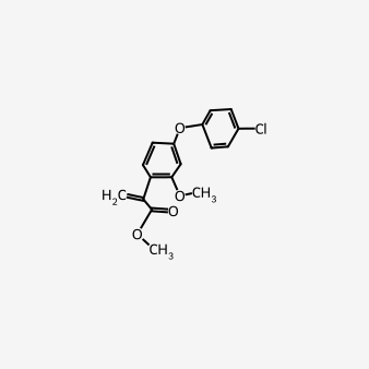 C=C(C(=O)OC)c1ccc(Oc2ccc(Cl)cc2)cc1OC